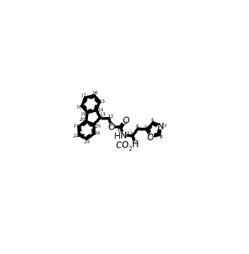 O=C(NC(Cc1cnco1)C(=O)O)OCC1c2ccccc2-c2ccccc21